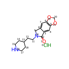 Cl.O=C1c2cc3c(cc2CN1CCC1CCNCC1)OCO3